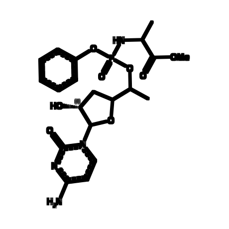 COC(=O)C(C)NP(=O)(Oc1ccccc1)OC(C)C1C[C@@H](O)C(n2ccc(N)nc2=O)O1